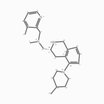 Cc1cccnc1CN(C)C[C@H]1Cc2c(cccc2N2CCC(C)CC2)CN1